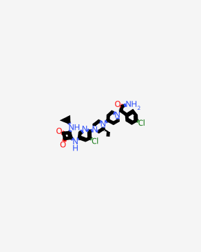 CC[C@H]1CN(c2ncc(Nc3c(NC4CC4)c(=O)c3=O)cc2Cl)CCN1C1CCN([C@H](C(N)=O)c2ccc(Cl)cc2)CC1